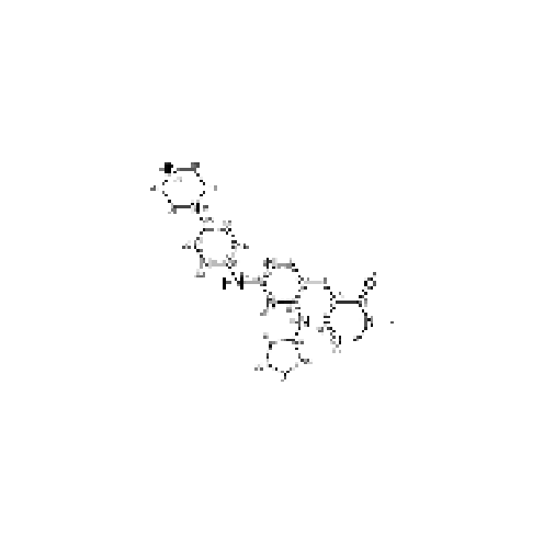 CN(C)C(=O)c1cc2cnc(Nc3ccc(N4CCNCC4)cn3)nc2n(C2CCCC2)c1=O